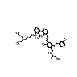 CC(CO)NCc1cc(Cl)c(OCc2cccc(-c3cccc(NCCCCN(CCO)CCO)c3C=N)c2Br)cc1OCc1cncc(C#N)c1